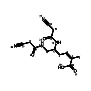 CC(=CCC(CNC(=O)CC#N)NC(=O)CC#N)C(=O)O